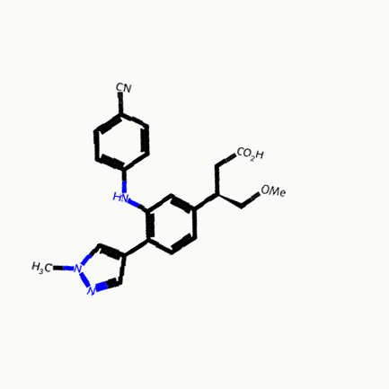 COC[C@H](CC(=O)O)c1ccc(-c2cnn(C)c2)c(Nc2ccc(C#N)cc2)c1